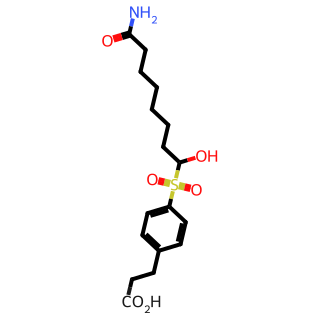 NC(=O)CCCCCCC(O)S(=O)(=O)c1ccc(CCC(=O)O)cc1